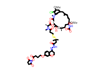 COc1cc2cc(c1Cl)N(C)C(=O)C[C@H](OC(=O)[C@H](C)N(C)C(=O)CCSSC(C)(C)CC(=O)N/N=C1\CCOc3cc(OCCCC(=O)ON4C(=O)CCC4=O)ccc31)C(C)(O)C[C@H](C)[C@@H]1C[C@@](O)(NC(=O)O1)[C@H](OC)/C=C/C=C(\C)C2